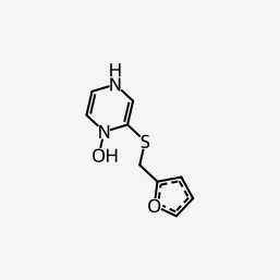 ON1C=CNC=C1SCc1ccco1